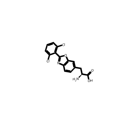 N[C@@H](Cc1ccc2nc(-c3c(Cl)cccc3Cl)oc2c1)C(=O)O